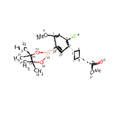 COc1cc(F)c([C@H]2C[C@@H](C(=O)OC)C2)cc1B1OC(C)(C)C(C)(C)O1